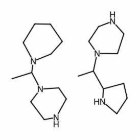 CC(C1CCCN1)N1CCNCC1.CC(N1CCCCC1)N1CCNCC1